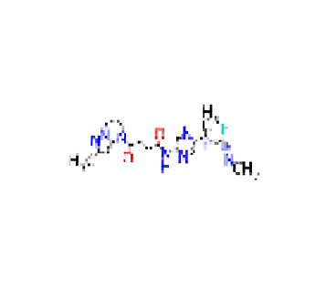 C=N/C=C(F)\C=C(/C)c1cnc(NC(=O)CCC(=O)N2CCCn3nc(C)cc32)cn1